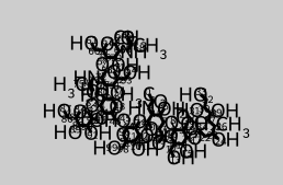 CC(=O)NC1C(O)[C@H](O[C@@H]2OC(CO)[C@H](O)[C@H](O[C@]3(OC=O)CC(O)[C@@H](C)C([C@H](O)[C@H](O)CO)O3)C2O)C(CO)O[C@H]1OC1[C@@H](OCC2O[C@@H](O[C@@H]3C(CO)O[C@@H](O[C@@H]4C(CO)O[C@@H](C)C(NC(C)=O)[C@H]4O)C(NC(C)=O)[C@H]3O)C(O)[C@@H](O[C@H]3O[C@H](CO)[C@@H](O)C(O)C3O)[C@@H]2O)OC(CO)[C@@H](O)[C@@H]1O